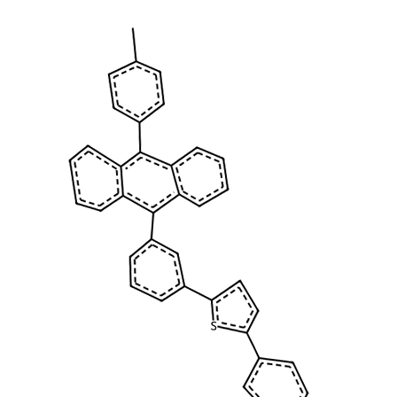 Cc1ccc(-c2c3ccccc3c(-c3cccc(-c4ccc(-c5ccccc5)s4)c3)c3ccccc23)cc1